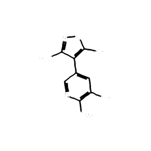 COc1ncc(-c2c(C)noc2C)cc1O